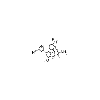 COc1cc(-c2cncc(C#N)c2)cc(C2(c3cccc(C(F)F)n3)N=C(N)N(C)C2=O)c1